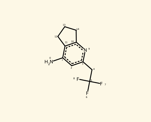 Nc1cc(CC(F)(F)F)nc2c1CCC2